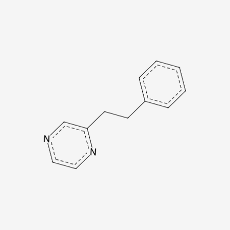 c1ccc(CCc2cnccn2)cc1